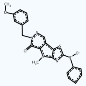 COc1cccc(Cn2ncc3c4sc([S+]([O-])c5ccccc5)nc4n(C)c3c2=O)c1